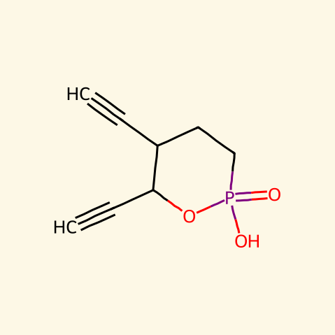 C#CC1CCP(=O)(O)OC1C#C